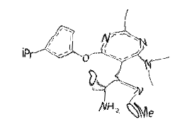 CO/N=C(\C(N)=O)c1c(Oc2cccc(C(C)C)c2)nc(C)nc1N(C)C